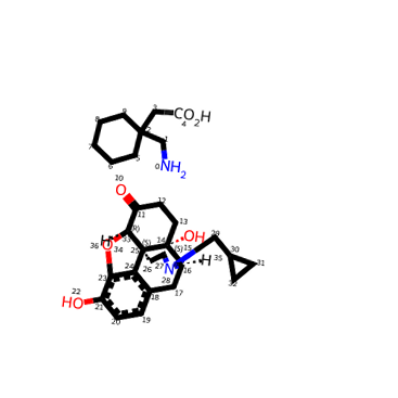 NCC1(CC(=O)O)CCCCC1.O=C1CC[C@@]2(O)[C@H]3Cc4ccc(O)c5c4[C@@]2(CCN3CC2CC2)[C@H]1O5